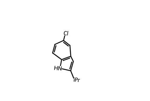 CC(C)c1cc2cc(Cl)ccc2[nH]1